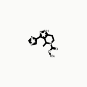 CC1c2c(-c3cscn3)n[nH]c2CCN1C(=O)OC(C)(C)C